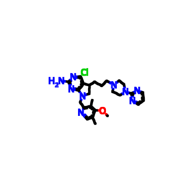 COc1c(C)cnc(CN2CC(CCCN3CCN(c4ncccn4)CC3)c3c(Cl)nc(N)nc32)c1C